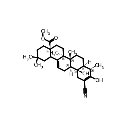 COC(=O)[C@]12CCC(C)(C)CC1C1=CC[C@@H]3[C@@]4(C)CC(C#N)=C(O)[C@@H](C)[C@@H]4CC[C@@]3(C)[C@]1(C)CC2